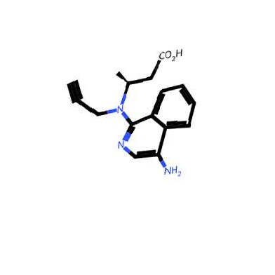 C#CCN(c1ncc(N)c2ccccc12)[C@@H](C)CC(=O)O